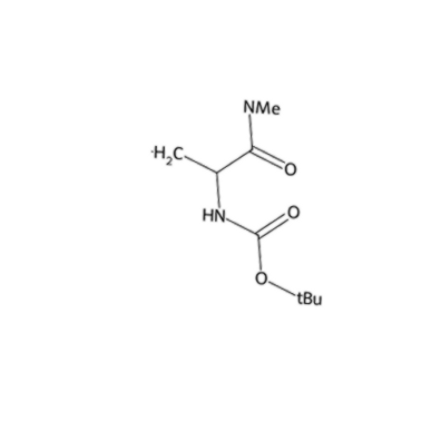 [CH2]C(NC(=O)OC(C)(C)C)C(=O)NC